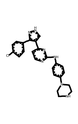 Clc1ccc(-c2n[nH]cc2-c2ccnc(Nc3ccc(N4CCNCC4)cc3)n2)cc1